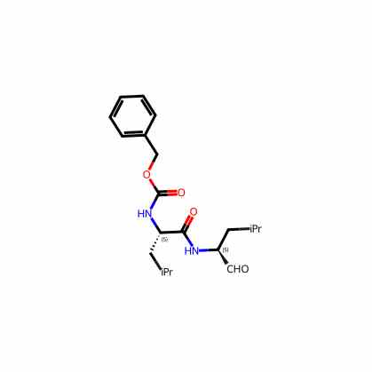 CC(C)C[C@@H](C=O)NC(=O)[C@H](CC(C)C)NC(=O)OCc1ccccc1